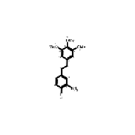 COc1cc(CCc2ccc(F)c(N)c2)cc(OC)c1OC